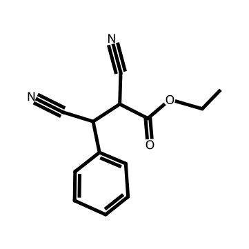 CCOC(=O)C(C#N)C(C#N)c1ccccc1